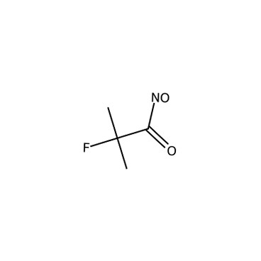 CC(C)(F)C(=O)N=O